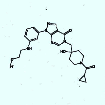 CC(C)OCCNc1cccc(-n2ncc3c(=O)n(CC4(O)CCN(C(=O)C5CC5)CC4)cnc32)c1